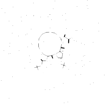 CC(C)(C)OC(=O)N[C@H]1CCCCCCCCCC[C@@H](C(=O)C(N)=O)NC(=O)[C@@H]2C[C@@H](OC(C)(C)C)CN2C1=O